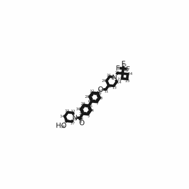 O=C(c1ccc(-c2ccc(OCC3CCN(CC4(C(F)(F)F)CCC4)CC3)cc2)cc1)N1CCC[C@H](O)C1